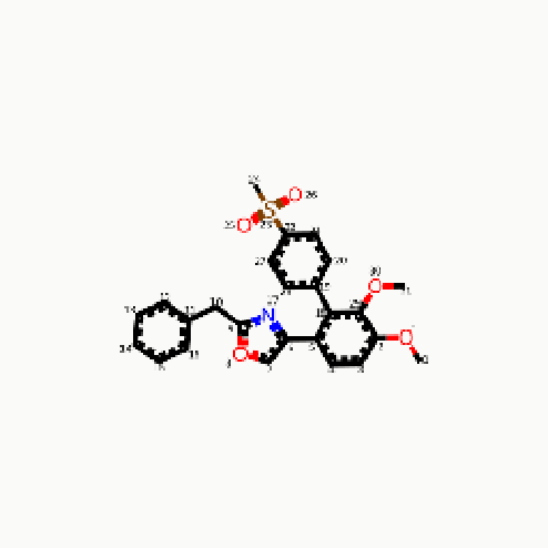 COc1ccc(-c2coc(Cc3ccccc3)n2)c(-c2ccc(S(C)(=O)=O)cc2)c1OC